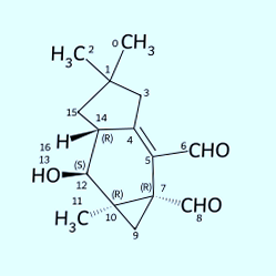 CC1(C)CC2=C(C=O)[C@@]3(C=O)C[C@@]3(C)[C@@H](O)[C@@H]2C1